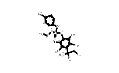 CC(C)c1ccc(OP(=O)(O[I+][O-])Oc2c(F)c(F)c(C(C)(F)CF)c(F)c2F)cc1